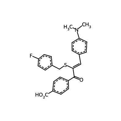 CN(C)c1ccc(C=C(SCc2ccc(F)cc2)C(=O)c2ccc(C(=O)O)cc2)cc1